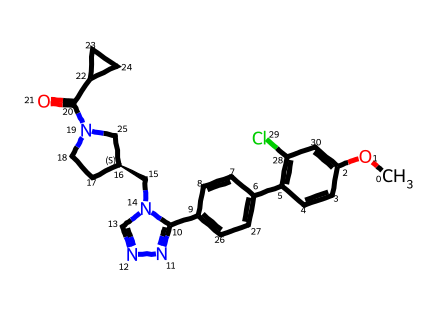 COc1ccc(-c2ccc(-c3nncn3C[C@H]3CCN(C(=O)C4CC4)C3)cc2)c(Cl)c1